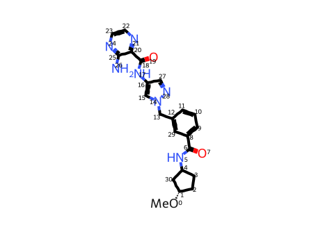 CO[C@H]1CCC(NC(=O)c2cccc(Cn3cc(NC(=O)c4nccnc4N)cn3)c2)C1